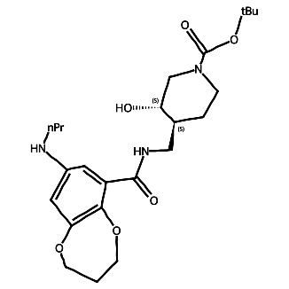 CCCNc1cc2c(c(C(=O)NC[C@@H]3CCN(C(=O)OC(C)(C)C)C[C@H]3O)c1)OCCCO2